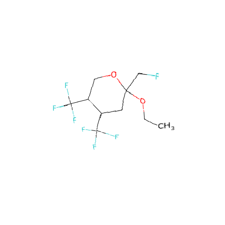 CCOC1(CF)CC(C(F)(F)F)C(C(F)(F)F)CO1